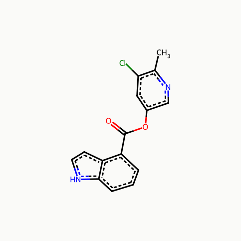 Cc1ncc(OC(=O)c2cccc3[nH]ccc23)cc1Cl